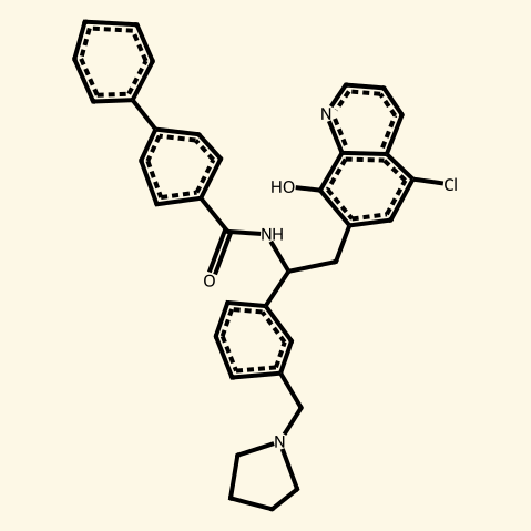 O=C(NC(Cc1cc(Cl)c2cccnc2c1O)c1cccc(CN2CCCC2)c1)c1ccc(-c2ccccc2)cc1